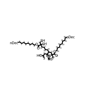 CCCCCCCCCCCCCCCCCCOC(=O)C(S)(CS)CCCCC(CC(S)(CS)C(=O)OCCCCCCCCCCCCCCCCCC)C(=C=O)CC(O)=S